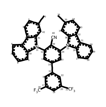 Cc1ccc2c3ccccc3n(-c3cc(-c4cc(C(F)(F)F)cc(C(F)(F)F)c4)cc(-n4c5ccccc5c5ccc(C)cc54)c3C#N)c2c1